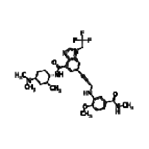 CNC(=O)c1ccc(OC)c(NCC#Cc2cc(C(=O)N[C@H]3CC[C@H](N(C)C)C[C@@H]3C)c3ncn(CC(F)(F)F)c3c2)c1